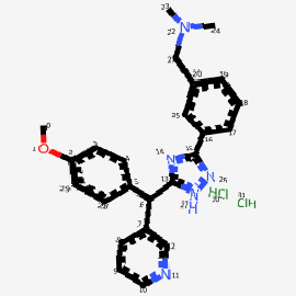 COc1ccc(C(c2cccnc2)c2nc(-c3cccc(CN(C)C)c3)n[nH]2)cc1.Cl.Cl